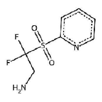 NCC(F)(F)S(=O)(=O)c1ccccn1